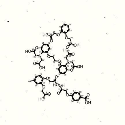 Cc1ccc(OCC(=O)O)c(OCC(=O)O)c1.O=C(O)CN(CC(=O)O)c1ccccc1OCCOc1ccccc1N(CC(=O)O)CC(=O)O.O=C(O)COc1ccc(C(=O)O)cc1.O=C(O)COc1ccccc1OCC(=O)O